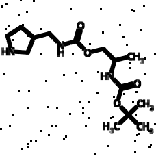 CC(COC(=O)NCC1CCNC1)NC(=O)OC(C)(C)C